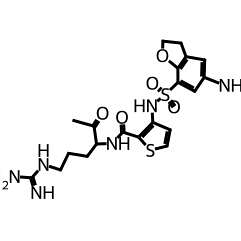 CC(=O)C(CCCNC(=N)N)NC(=O)c1sccc1NS(=O)(=O)c1cc(N)cc2c1OCC2